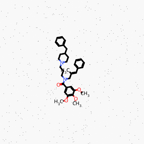 COc1cc(C(=O)N(CCCN2CCC(Cc3ccccc3)CC2)CC(C)=Cc2ccccc2)cc(OC)c1OC